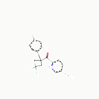 Nc1ccc(C(=O)C2(c3ccc(Cl)cc3)CC(F)(F)C2)nc1